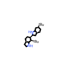 CC(C)(C)c1ccc2cc(-c3ccc4cc[nH]c4c3C(C)(C)C)[nH]c2c1